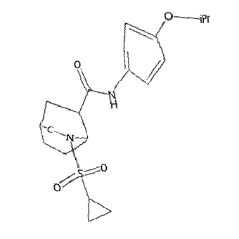 CC(C)Oc1ccc(NC(=O)C2CC3CCC2N(S(=O)(=O)C2CC2)C3)cc1